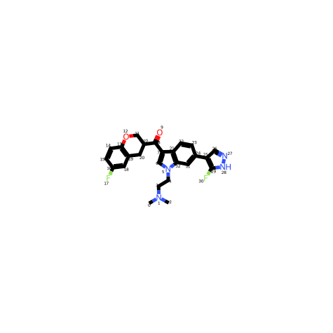 CN(C)CCn1cc(C(=O)C2COc3ccc(F)cc3C2)c2ccc(-c3cn[nH]c3F)cc21